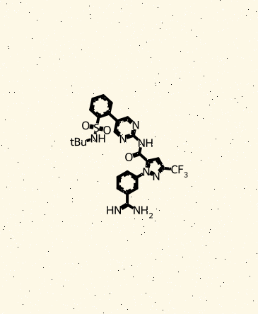 CC(C)(C)NS(=O)(=O)c1ccccc1-c1cnc(NC(=O)c2cc(C(F)(F)F)nn2-c2cccc(C(=N)N)c2)nc1